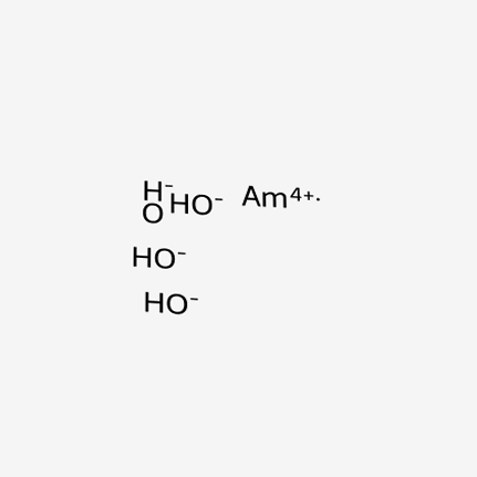 [Am+4].[OH-].[OH-].[OH-].[OH-]